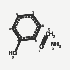 C=O.N.Oc1ccccc1